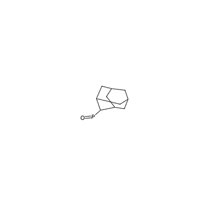 O=PC1C2CC3CC(C2)CC1C3